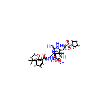 CC1(C)CCOc2c(C(=O)N[C@H]3CN4C(=N)N[C@@H](CNS(=O)(=O)N5CCCC5)[C@@H]5NC(=N)N[C@@]54C3(O)O)cccc21